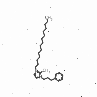 CCCCCCCCCCCCCCCn1cc[n+](CCCc2ccccc2)c1C